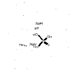 F.O=P(O)(O)O.[NaH].[NaH].[NaH]